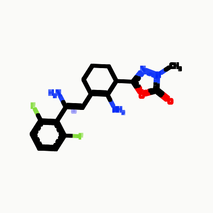 Cn1nc(C2CCCC(/C=C(\N)c3c(F)cccc3F)=C2N)oc1=O